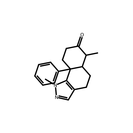 CC1C(=O)CCC2(c3ccccc3)c3c(cnn3C)CCC12